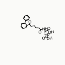 O=C(CCCCC(=O)c1ccccc1-c1ccccc1)N[C@@H](CS(=O)(=O)O)C(=O)O